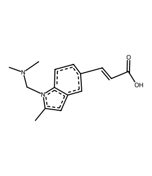 Cc1cc2cc(C=CC(=O)O)ccc2n1CN(C)C